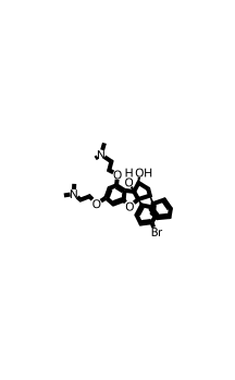 CN(C)CCOc1cc(OCCN(C)C)c2c(c1)O[C@@]1(c3ccc(Br)cc3)[C@H](c3ccccc3)C[C@H](O)[C@@]21O